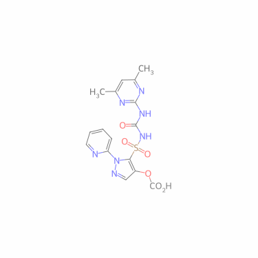 Cc1cc(C)nc(NC(=O)NS(=O)(=O)c2c(OC(=O)O)cnn2-c2ccccn2)n1